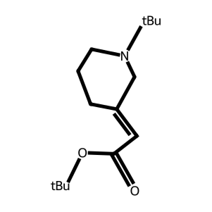 CC(C)(C)OC(=O)C=C1CCCN(C(C)(C)C)C1